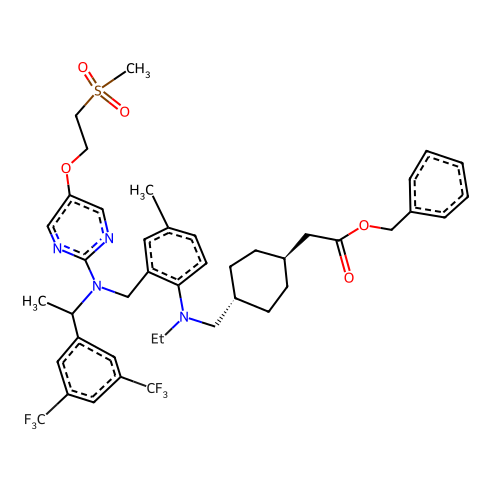 CCN(C[C@H]1CC[C@H](CC(=O)OCc2ccccc2)CC1)c1ccc(C)cc1CN(c1ncc(OCCS(C)(=O)=O)cn1)C(C)c1cc(C(F)(F)F)cc(C(F)(F)F)c1